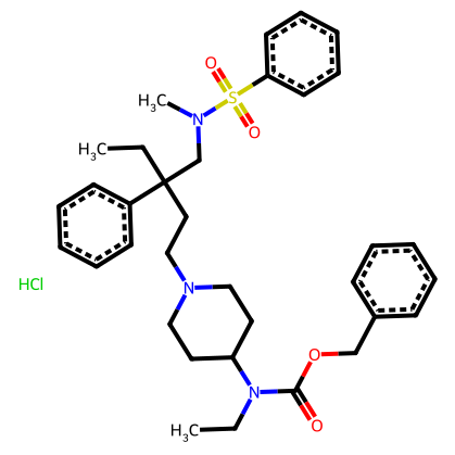 CCN(C(=O)OCc1ccccc1)C1CCN(CCC(CC)(CN(C)S(=O)(=O)c2ccccc2)c2ccccc2)CC1.Cl